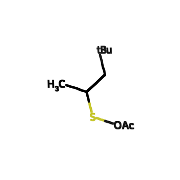 CC(=O)OSC(C)CC(C)(C)C